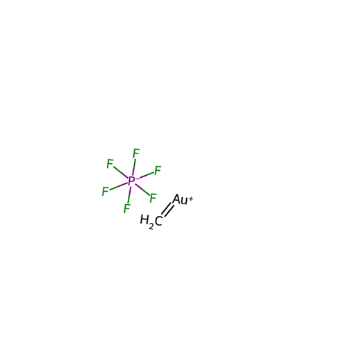 F[P-](F)(F)(F)(F)F.[CH2]=[Au+]